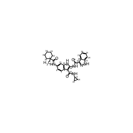 CC1(C(=O)Nc2ccc3c(C(=O)NC4CC4)c(NC(=O)c4n[nH]c5ccccc45)[nH]c3c2)CCCCC1